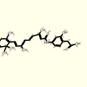 CC(C=CC1=C(C)CCCC1(C)C)=CC=CC(C)=CC(=O)Nc1ccc(CC(=O)O)c(O)c1